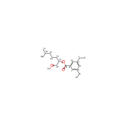 CCc1cc(CC)cc(C(=O)OC(CCCC(C)C)COC)c1